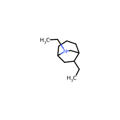 CCC1CC2CCCC1CN2CC